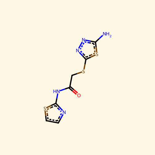 Nc1nnc(SCC(=O)Nc2nccs2)s1